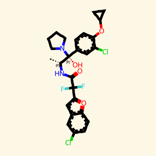 C[C@@H](NC(=O)C(F)(F)c1cc2cc(Cl)ccc2o1)[C@](O)(c1ccc(OC2CC2)c(Cl)c1)N1CCCC1